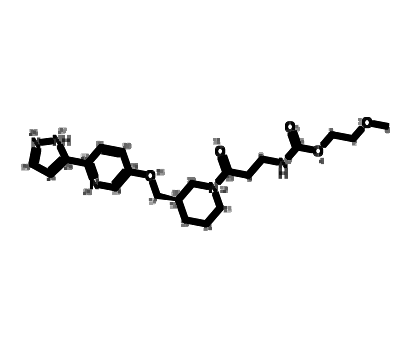 COCCOC(=O)NCCC(=O)N1CCC[C@@H](COc2ccc(-c3ccn[nH]3)nc2)C1